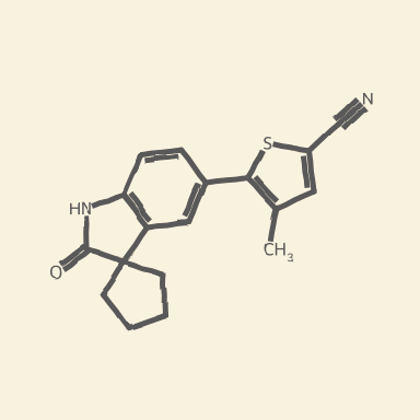 Cc1cc(C#N)sc1-c1ccc2c(c1)C1(CCCC1)C(=O)N2